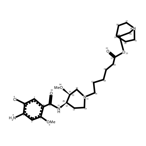 COc1cc(N)c(Cl)cc1C(=O)N[C@@H]1CCN(CCCCCC(=O)OC2CN3CCC2CC3)C[C@@H]1OC